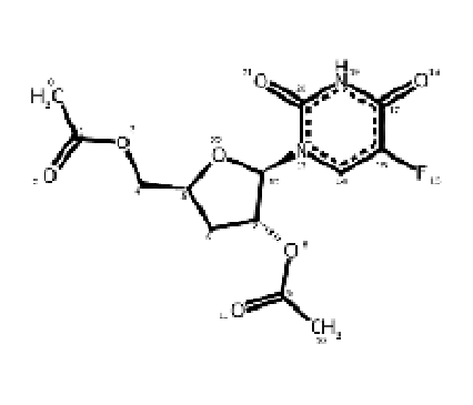 CC(=O)OC[C@@H]1C[C@@H](OC(C)=O)[C@H](n2cc(F)c(=O)[nH]c2=O)O1